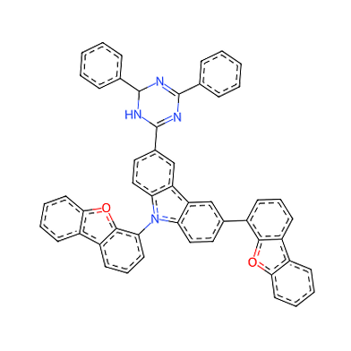 c1ccc(C2=NC(c3ccccc3)NC(c3ccc4c(c3)c3cc(-c5cccc6c5oc5ccccc56)ccc3n4-c3cccc4c3oc3ccccc34)=N2)cc1